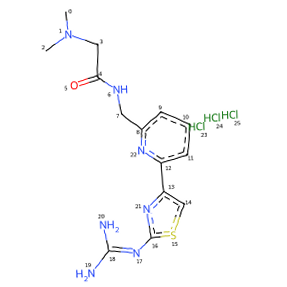 CN(C)CC(=O)NCc1cccc(-c2csc(N=C(N)N)n2)n1.Cl.Cl.Cl